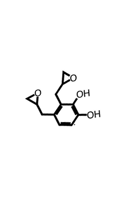 Oc1[c]cc(CC2CO2)c(CC2CO2)c1O